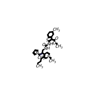 CCCCC1=C(/C(CNC(=O)Nc2sc3c(c2C(=O)OCC)CC(C)CC3)=C(\C)n2cccc2)CCN(CC)C1